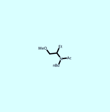 CCCCN(C(C)=O)C(CC)COC